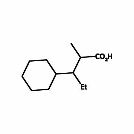 CCC(C1CCCCC1)C(C)C(=O)O